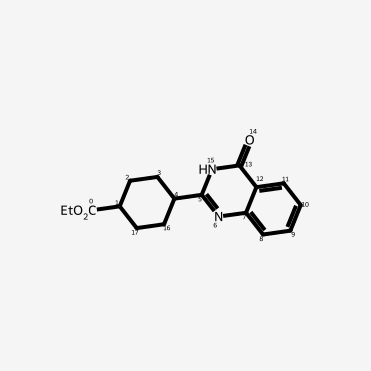 CCOC(=O)C1CCC(c2nc3ccccc3c(=O)[nH]2)CC1